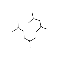 CP(C)CCP(C)C.CP(C)CP(C)C